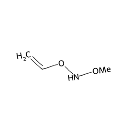 C=CONOC